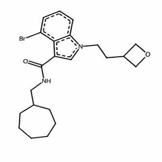 O=C(NCC1CCCCCC1)c1cn(CCC2COC2)c2cccc(Br)c12